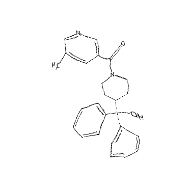 Cc1cncc(C(=O)N2CCC(C(O)(c3ccccc3)c3ccccc3)CC2)c1